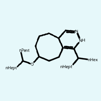 CCCCCCCC(CCCCC)OC1CCCC2C=NNC(C(CCCCCC)CCCCCCC)=C2CC1